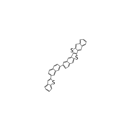 c1ccc2cc3c(cc2c1)sc1c2cc4cc(-c5ccc6ccc(-c7cc8ccccc8s7)cc6c5)ccc4cc2sc31